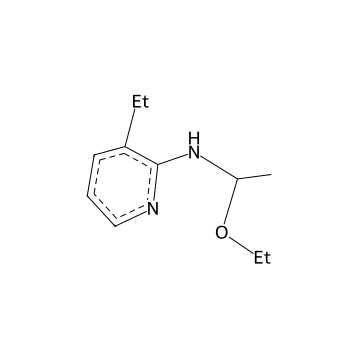 CCOC(C)Nc1ncccc1CC